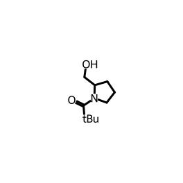 CC(C)(C)C(=O)N1CCCC1CO